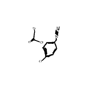 N#[N+]c1ccc(Cl)cc1.O=C([O-])Cl